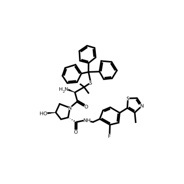 Cc1ncsc1-c1ccc(CNC(=O)[C@@H]2C[C@@H](O)CN2C(=O)[C@@H](N)C(C)(C)SC(c2ccccc2)(c2ccccc2)c2ccccc2)c(F)c1